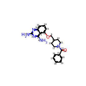 Nc1nc(N)c2c(OCC3CCN(C(=O)c4ccccc4)CC3)cccc2n1